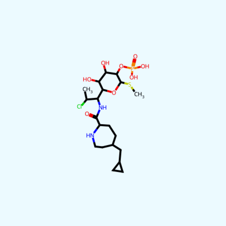 CSC1OC(C(NC(=O)C2CCC(CC3CC3)CCN2)C(C)Cl)C(O)C(O)C1OP(=O)(O)O